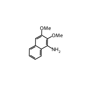 COc1cc2ccccc2c(N)c1OC